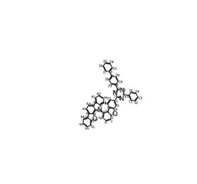 C1=CC2Oc3cc(-c4nc(-c5ccccc5)nc(-c5ccc(-c6ccccc6)cc5)n4)ccc3C2C(n2c3ccccc3c3ccc4c5ccccc5oc4c32)=C1